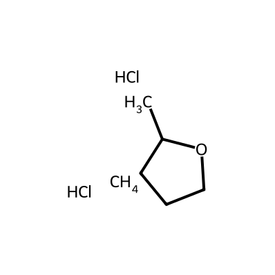 C.CC1CCCO1.Cl.Cl